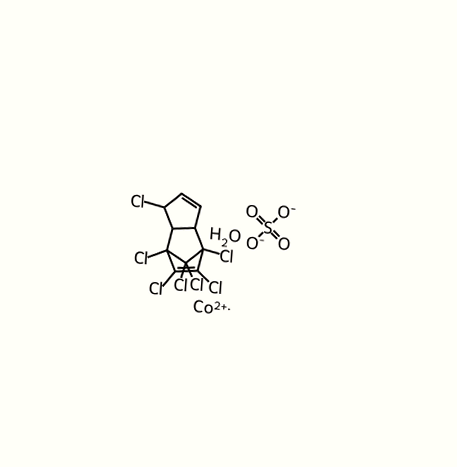 ClC1=C(Cl)C2(Cl)C3C(Cl)C=CC3C1(Cl)C2(Cl)Cl.O.O=S(=O)([O-])[O-].[Co+2]